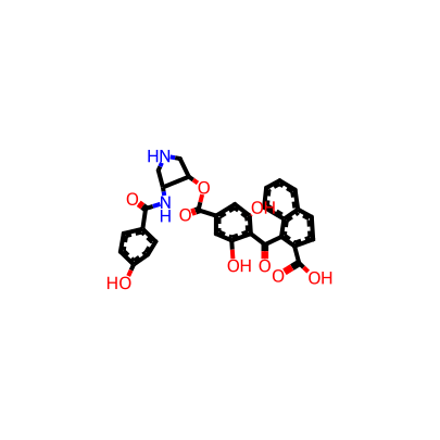 O=C(NC1CNCC1OC(=O)c1cc(O)c(C(=O)c2c(C(=O)O)ccc3ccccc23)c(O)c1)c1ccc(O)cc1